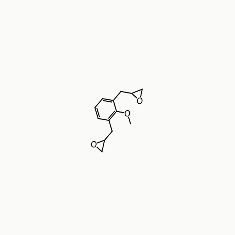 COc1c(CC2CO2)cccc1CC1CO1